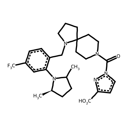 CC1CC[C@@H](C)N1c1cc(C(F)(F)F)ccc1CN1CCCC12CCN(C(=O)n1ccc(C(=O)O)n1)CC2